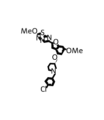 COc1cc(OC[C@H]2CCCN(Cc3ccc(Cl)cc3)C2)c2cc(-c3cn4nc(OC)sc4n3)oc2c1